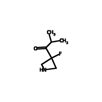 CC(C)C(=O)C1(F)CNC1